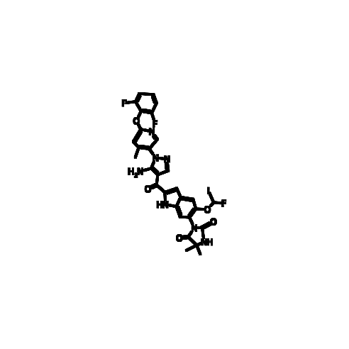 Cc1cc(Oc2c(F)cccc2F)ncc1-n1ncc(C(=O)c2cc3cc(OC(F)I)c(N4C(=O)NC(C)(C)C4=O)cc3[nH]2)c1N